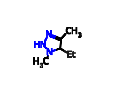 CCC1C(C)=NNN1C